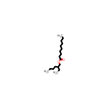 C[CH]CCCCCCCC(=O)OCC(CC)CCCC